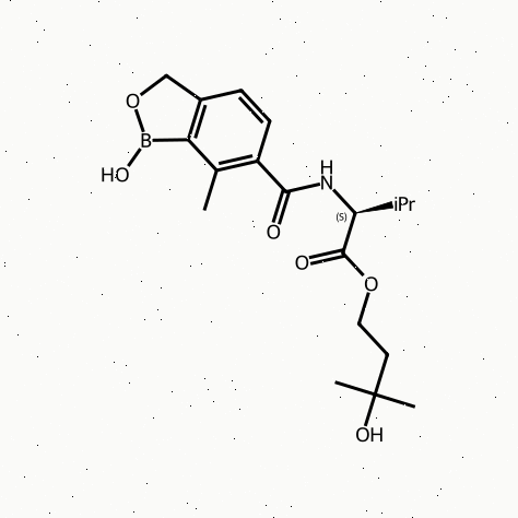 Cc1c(C(=O)N[C@H](C(=O)OCCC(C)(C)O)C(C)C)ccc2c1B(O)OC2